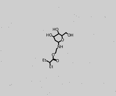 CCC(CC)C(=O)OCCNC1CC(O)C(O)C(CO)O1